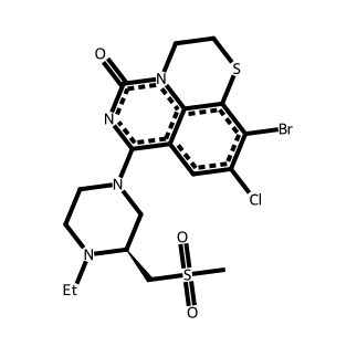 CCN1CCN(c2nc(=O)n3c4c(c(Br)c(Cl)cc24)SCC3)C[C@H]1CS(C)(=O)=O